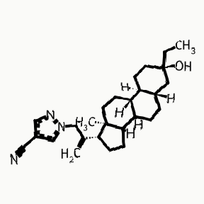 C=C(Cn1cc(C#N)cn1)[C@H]1CC[C@H]2[C@@H]3CC[C@H]4C[C@@](O)(CC)CC[C@@H]4[C@H]3CC[C@]12C